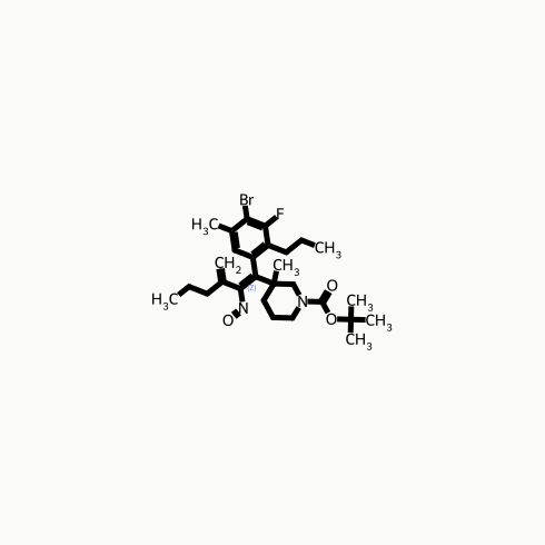 C=C(CCC)/C(N=O)=C(\c1cc(C)c(Br)c(F)c1CCC)C1(C)CCCN(C(=O)OC(C)(C)C)C1